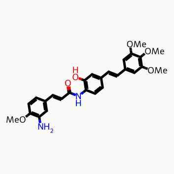 COc1ccc(/C=C/C(=O)Nc2ccc(/C=C/c3cc(OC)c(OC)c(OC)c3)cc2O)cc1N